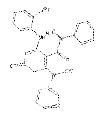 CCCc1ccccc1NC1=CC(=O)CC(N(C=O)c2ccccc2)=C1C(=O)N(C)c1ccccc1